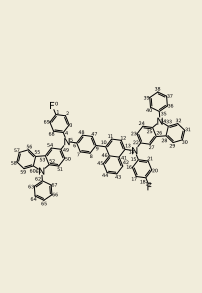 Fc1ccc(N(c2ccc(-c3ccc(N(c4ccc(F)cc4)c4ccc5c(c4)c4ccccc4n5-c4ccccc4)c4ccccc34)cc2)c2ccc3c(c2)c2ccccc2n3-c2ccccc2)cc1